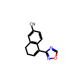 N#Cc1ccc2c(c1)CCC=C2c1ncon1